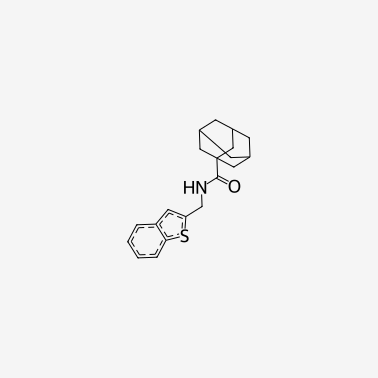 O=C(NCc1cc2ccccc2s1)C12CC3CC(CC(C3)C1)C2